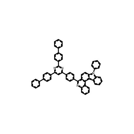 c1ccc(-c2ccc(-c3cc(-c4ccc(-c5nc6ccccc6c6c5ccc5c6c6ccccc6n5-c5ccccc5)cc4)nc(-c4ccc(-c5ccccc5)cc4)n3)cc2)cc1